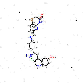 COc1ccc2ncc(F)c(C[C@H](N)[C@H]3CC[C@H](NCc4ccc5c(n4)NC(=O)CS5)CC3)c2c1